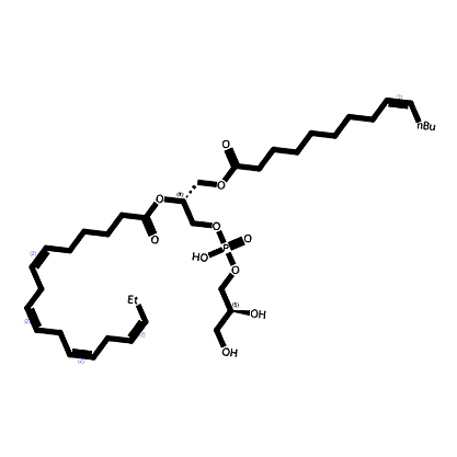 CC/C=C\C/C=C\C/C=C\C/C=C\CCCCC(=O)O[C@H](COC(=O)CCCCCCC/C=C\CCCC)COP(=O)(O)OC[C@@H](O)CO